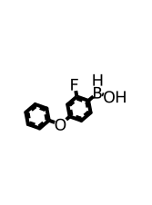 OBc1ccc(Oc2ccccc2)cc1F